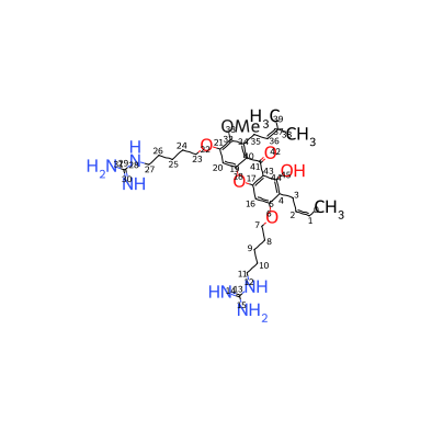 C/C=C\Cc1c(OCCCCCNC(=N)N)cc2oc3cc(OCCCCCNC(=N)N)c(OC)c(CC=C(C)C)c3c(=O)c2c1O